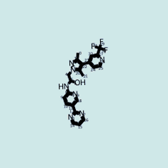 Cc1nn(CC(O)Nc2ccc(-c3ncccn3)cn2)c(C)c1-c1ccnc(C(F)(F)F)c1